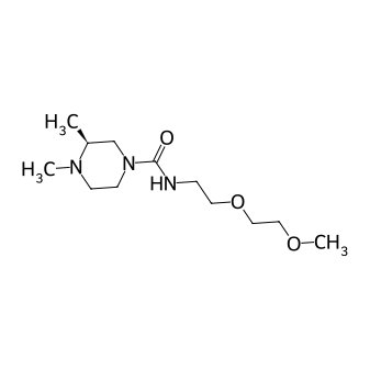 COCCOCCNC(=O)N1CCN(C)[C@@H](C)C1